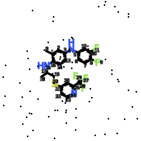 Cc1cc(Nc2ccc(F)c(F)c2)ccc1NC(C)CSc1ccnc(C(F)(F)F)c1